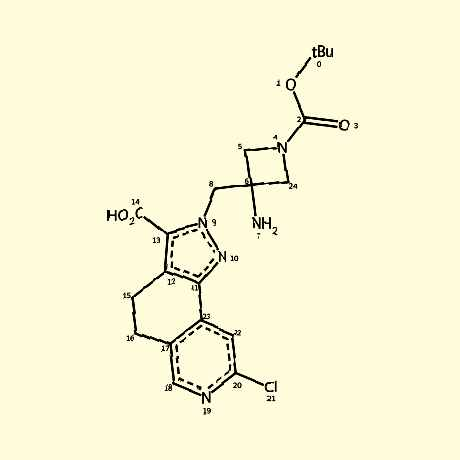 CC(C)(C)OC(=O)N1CC(N)(Cn2nc3c(c2C(=O)O)CCc2cnc(Cl)cc2-3)C1